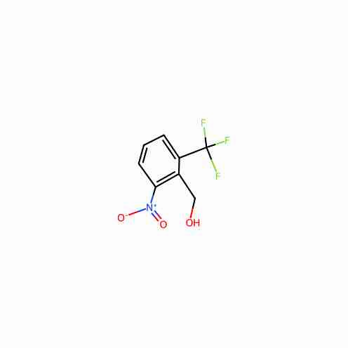 O=[N+]([O-])c1cccc(C(F)(F)F)c1CO